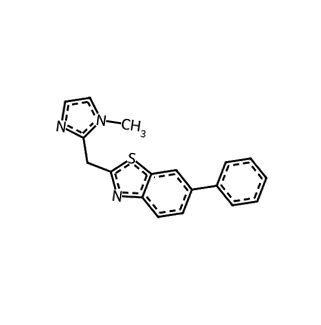 Cn1ccnc1Cc1nc2ccc(-c3ccccc3)cc2s1